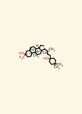 C[C@H](CCC1(O)CCC(C)(C)CC1)[C@H]1CC[C@H]2[C@@H]3CC=C4C[C@](O)(C(F)(F)F)CC[C@]4(C)[C@H]3CC[C@]12C